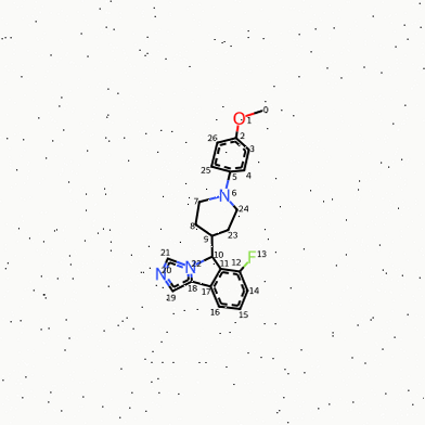 COc1ccc(N2CCC(C3c4c(F)cccc4-c4cncn43)CC2)cc1